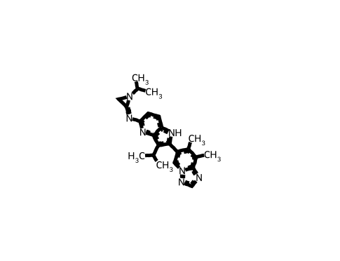 Cc1c(-c2[nH]c3ccc(/N=C4/CN4C(C)C)nc3c2C(C)C)cn2ncnc2c1C